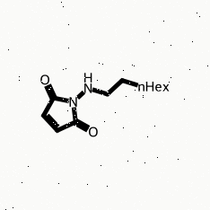 CCCCCCCCNN1C(=O)C=CC1=O